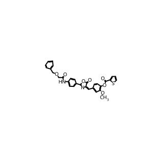 COc1cc(/C=C2/N=C(c3ccc(NC(=O)COCc4ccccc4)cc3)OC2=O)ccc1OC(=O)c1cccs1